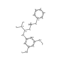 COc1cc(OC)nc(OC(CNCc2ccccc2)C(C)C)n1